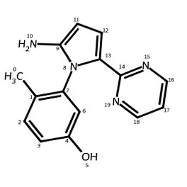 Cc1ccc(O)cc1-n1c(N)ccc1-c1ncccn1